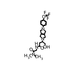 CN(C)C(=O)CNC(=O)CC(CO)N1CC2=C(CN(c3ccc(OC(F)(F)F)cc3)C2)C1